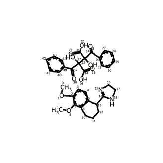 COc1ccc2c(c1OC)CCCC2C1=NCCN1.O=C(O)C(O)(C(=O)c1ccccc1)C(O)(C(=O)O)C(=O)c1ccccc1